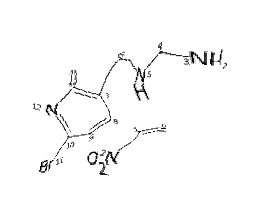 C=C[N+](=O)[O-].NCNCc1ccc(Br)nc1